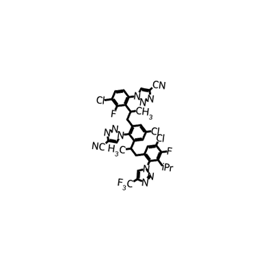 CC(C)c1c(F)c(Cl)cc(CC(C)c2cc(Cl)cc(CC(C)c3c(-n4cc(C#N)nn4)ccc(Cl)c3F)c2-n2cc(C#N)nn2)c1-n1cc(C(F)(F)F)nn1